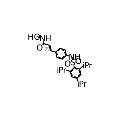 CC(C)c1cc(C(C)C)c(S(=O)(=O)Nc2ccc(/C=C/C(=O)NO)cc2)c(C(C)C)c1